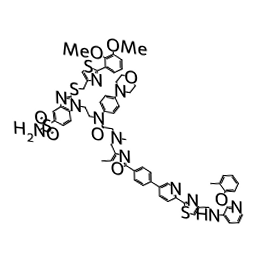 COc1cccc(-c2nc(CSc3nc4cc(S(N)(=O)=O)ccc4n3CCN(C(=O)CN(C)Cc3nc(-c4ccc(-c5ccc(-c6nc(CNc7cccnc7Oc7ccccc7C)cs6)nc5)cc4)oc3C)c3ccc(N4CCOCC4)cc3)cs2)c1OC